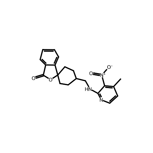 Cc1ccnc(NCC2CCC3(CC2)OC(=O)c2ccccc23)c1[N+](=O)[O-]